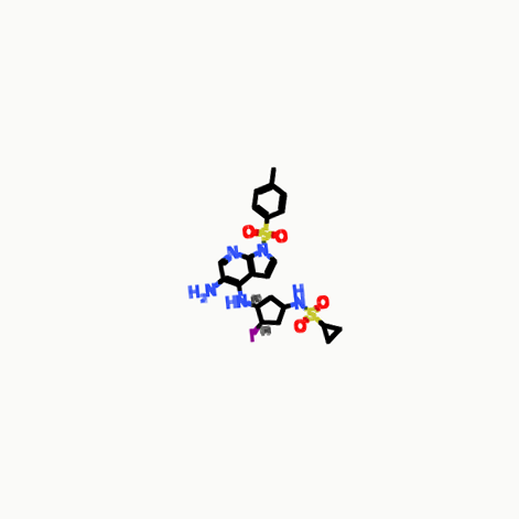 Cc1ccc(S(=O)(=O)n2ccc3c(N[C@H]4CC(NS(=O)(=O)C5CC5)C[C@H]4I)c(N)cnc32)cc1